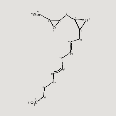 CCCCCCCCCC1OC1CC1OC1CC=CCC=CCCCC(=O)O